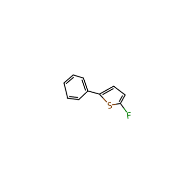 Fc1ccc(-c2ccccc2)s1